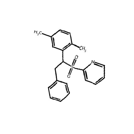 Cc1ccc(C)c(C(Cc2ccccc2)S(=O)(=O)c2ccccn2)c1